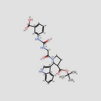 CC(C)(C)OC(=O)C1CCN(C(=O)CNC(=O)Nc2cccc(C(=O)O)c2)C1c1c[nH]c2ccccc12